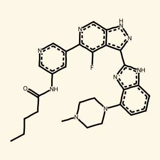 CCCCC(=O)Nc1cncc(-c2ncc3[nH]nc(-c4nc5c(N6CCN(C)CC6)cccc5[nH]4)c3c2F)c1